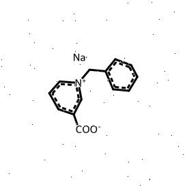 O=C([O-])c1ccc[n+](Cc2ccccc2)c1.[Na]